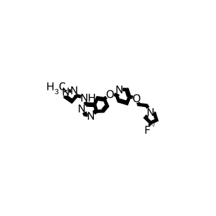 Cn1ccc(Nc2ncnc3ccc(Oc4ccc(OCCN5CC[C@@H](F)C5)cn4)cc23)n1